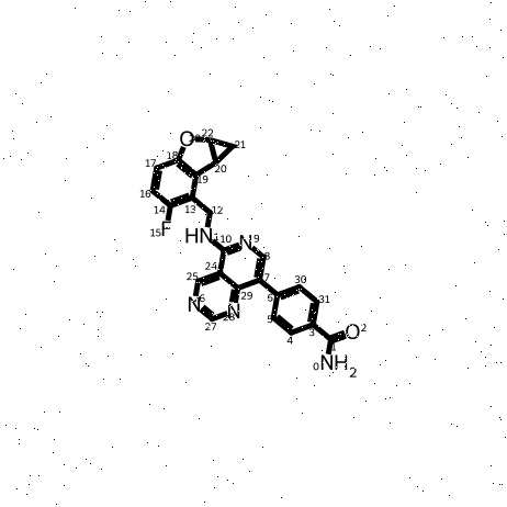 NC(=O)c1ccc(-c2cnc(NCc3c(F)ccc4c3C3CC3O4)c3cncnc23)cc1